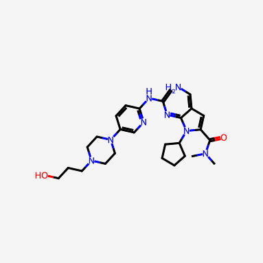 C=C(/N=C1\C(=C/N)C=C(C(=O)N(C)C)N1C1CCCC1)Nc1ccc(N2CCN(CCCO)CC2)cn1